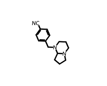 N#Cc1ccc(CN2CCCN3CCCC32)cc1